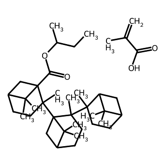 C=C(C)C(=O)O.CCC(C)OC(=O)C12CC(CCC1(C)C13CC(CCC1(C)C1(C)CCC4CC1C4(C)C)C3(C)C)C2(C)C